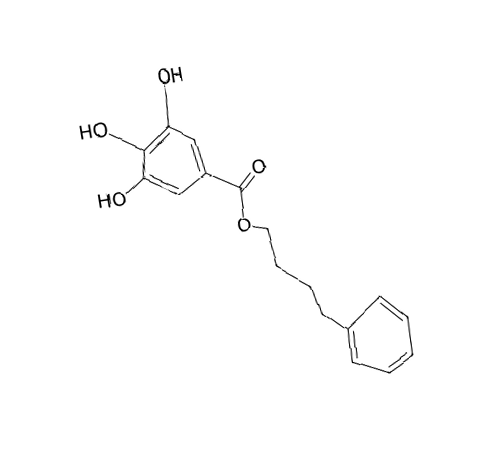 O=C(OCCCCc1ccccc1)c1cc(O)c(O)c(O)c1